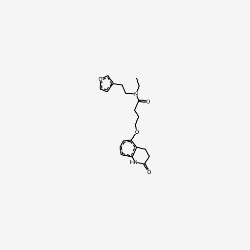 CCN(CCc1ccoc1)C(=O)CCCOc1cccc2c1CCC(=O)N2